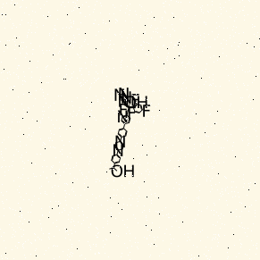 CC(O)c1ccc(N2CCN(c3ccc(-c4ccc(C(F)(F)[C@](O)(Cn5cnnn5)c5ccc(F)cc5F)nc4)cc3)CC2)cc1